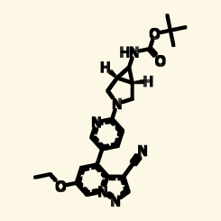 CCOc1cc(-c2ccc(N3C[C@@H]4C(NC(=O)OC(C)(C)C)[C@@H]4C3)nc2)c2c(C#N)cnn2c1